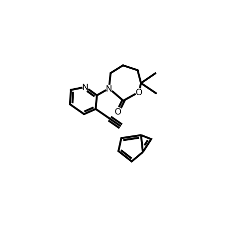 C#Cc1cccnc1N1CCCC(C)(C)OC1=O.c1cc2cc-2c1